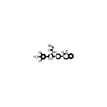 CC(C)(C)OC(=O)N[C@@H](CC(=O)c1cc(Cl)c(N)c(Cl)c1)C(=O)N1CCC(N2CCc3ccccc3NC2=O)CC1